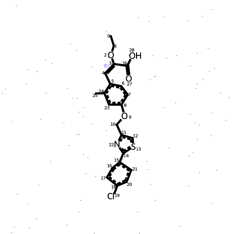 CCO/C(=C/c1ccc(OCc2csc(-c3ccc(Cl)cc3)n2)cc1C)C(=O)O